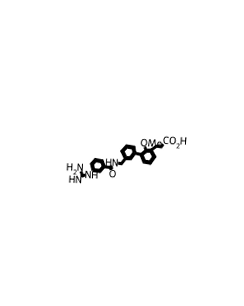 COc1c(CCC(=O)O)cccc1-c1cccc(CNC(=O)c2cccc(NC(=N)N)c2)c1